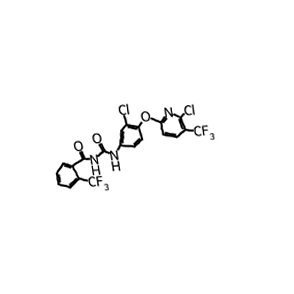 O=C(NC(=O)c1ccccc1C(F)(F)F)Nc1ccc(Oc2ccc(C(F)(F)F)c(Cl)n2)c(Cl)c1